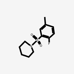 Cc1ccc(F)c(S(=O)(=O)N2CCCCC2)c1